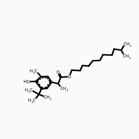 Cc1cc(C(C)C(=O)OCCCCCCCCCC(C)C)cc(C(C)(C)C)c1O